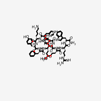 N=C(N)NCCC[C@H](NC(=O)[C@@H](CCCCN)NC(=O)[C@@H](Cc1c[nH]cn1)NC(=O)[C@@H](CC(=O)O)NC(=O)[C@H](CCC(=O)O)NC(=O)[C@@H](Cc1ccccc1)NC(=O)[C@H](Cc1ccc(O)cc1)NC(=O)[C@H](CCCCN)NC(=O)[C@H](N)Cc1c[nH]cn1)C(=O)N[C@@H](Cc1c[nH]c2ccccc12)C(N)=O